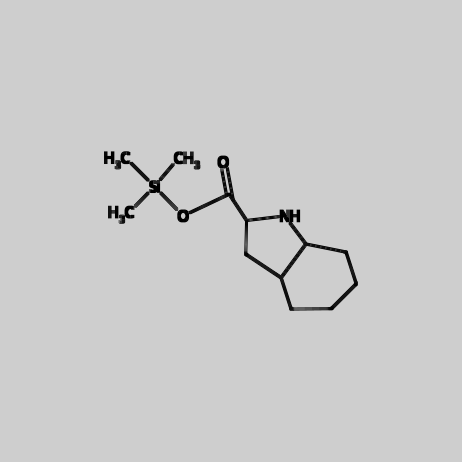 C[Si](C)(C)OC(=O)C1CC2CCCCC2N1